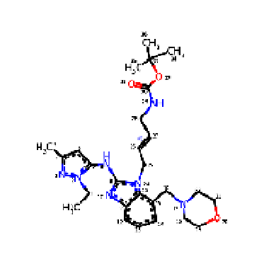 CCn1nc(C)cc1Nc1nc2cccc(CN3CCOCC3)c2n1C/C=C/CNC(=O)OC(C)(C)C